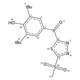 CC(C)(C)c1cc(C(=O)c2nnc(S(C)(=O)=O)s2)cc(C(C)(C)C)c1O